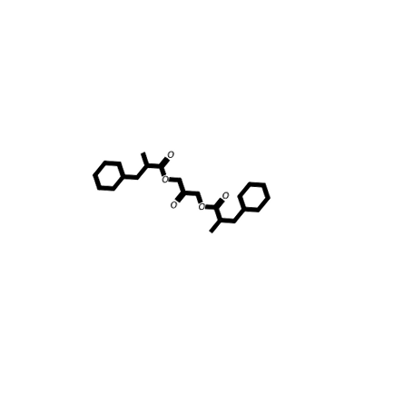 CC(CC1CCCCC1)C(=O)OCC(=O)COC(=O)C(C)CC1CCCCC1